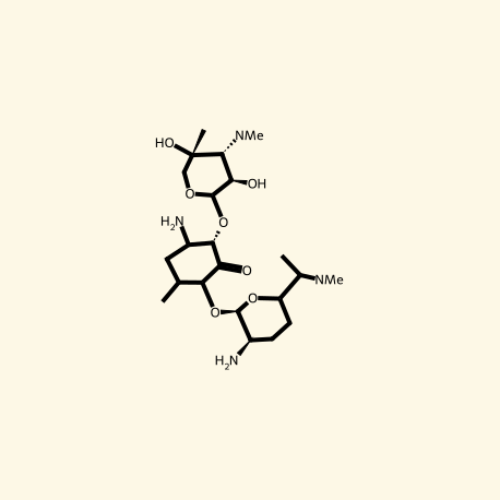 CNC(C)C1CC[C@@H](N)[C@@H](OC2C(=O)[C@@H](OC3OC[C@](C)(O)[C@H](NC)[C@H]3O)C(N)CC2C)O1